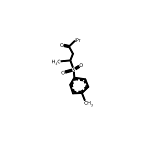 Cc1ccc(S(=O)(=O)C(C)CC(=O)C(C)C)cc1